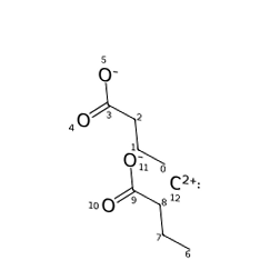 CCCC(=O)[O-].CCCC(=O)[O-].[C+2]